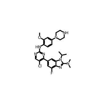 COc1cc(N2CCNCC2)ccc1Nc1ncc(Cl)c(-c2cc(F)c3nc(N(C)C)n(C(C)C)c3c2)n1